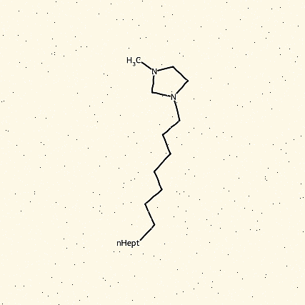 CCCCCCCCCCCCCCN1CCN(C)C1